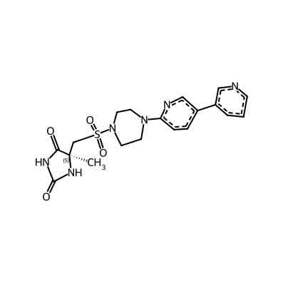 C[C@]1(CS(=O)(=O)N2CCN(c3ccc(-c4cccnc4)cn3)CC2)NC(=O)NC1=O